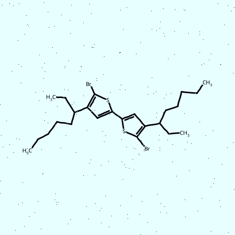 CCCCCC(CC)c1cc(-c2cc(C(CC)CCCCC)c(Br)s2)sc1Br